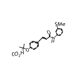 CSc1cccc(NC(=O)C=Cc2ccc(OC(C)(C)C(=O)O)cc2)c1